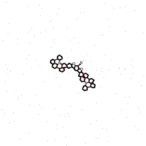 N#Cc1c2oc3cc4cc(N(c5ccccc5-c5ccccc5)c5ccccc5-c5ccccc5)ccc4cc3c2cc2c1oc1cc3cc(N(c4ccccc4-c4ccccc4)c4ccccc4-c4ccccc4)ccc3cc12